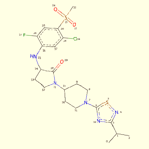 CC(C)c1nsc(N2CCC(N3CCC(Nc4cc(Cl)c(S(C)(=O)=O)cc4F)C3=O)CC2)n1